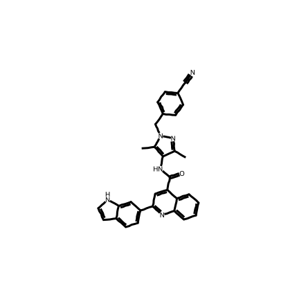 Cc1nn(Cc2ccc(C#N)cc2)c(C)c1NC(=O)c1cc(-c2ccc3cc[nH]c3c2)nc2ccccc12